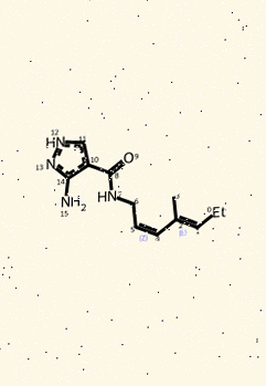 CC/C=C(C)/C=C\CNC(=O)c1c[nH]nc1N